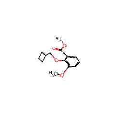 COC(=O)c1cccc(OC)c1OCC1CCC1